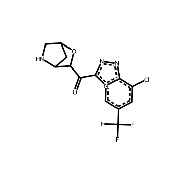 O=C(c1nnc2c(Cl)cc(C(F)(F)F)cn12)C1OC2CNC1C2